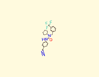 N#Cc1ccc(NC(=O)N(Cc2cccc(C(F)(F)F)c2)C2CCCC2)cc1